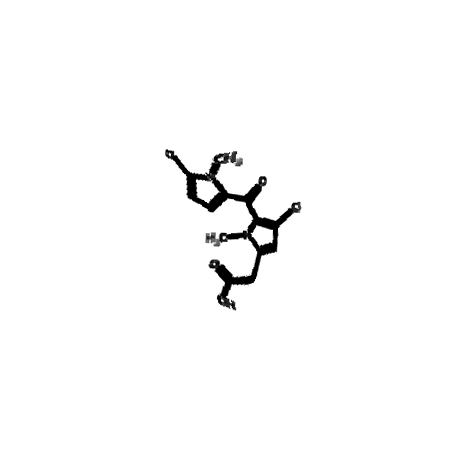 Cn1c(Cl)ccc1C(=O)c1c(Cl)cc(CC(=O)O)n1C